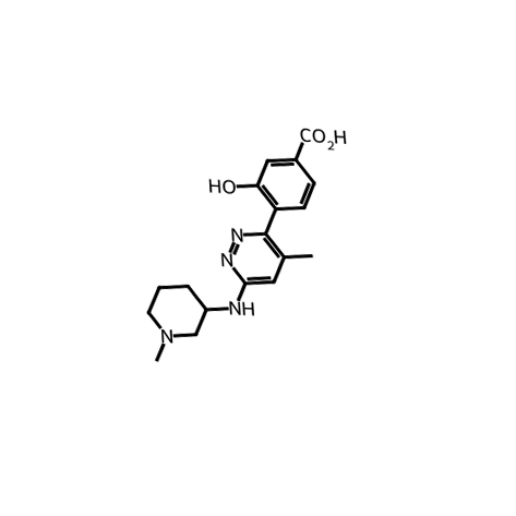 Cc1cc(NC2CCCN(C)C2)nnc1-c1ccc(C(=O)O)cc1O